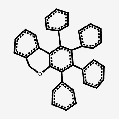 c1ccc(-c2c3c(c(-c4ccccc4)c(-c4ccccc4)c2-c2ccccc2)-c2ccccc2CO3)cc1